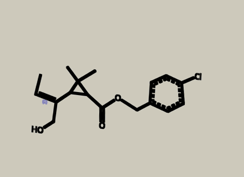 C/C=C(/CO)C1C(C(=O)OCc2ccc(Cl)cc2)C1(C)C